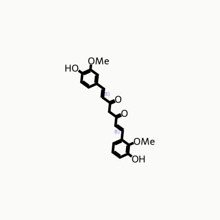 COc1cc(/C=C/C(=O)CC(=O)/C=C/c2cccc(O)c2OC)ccc1O